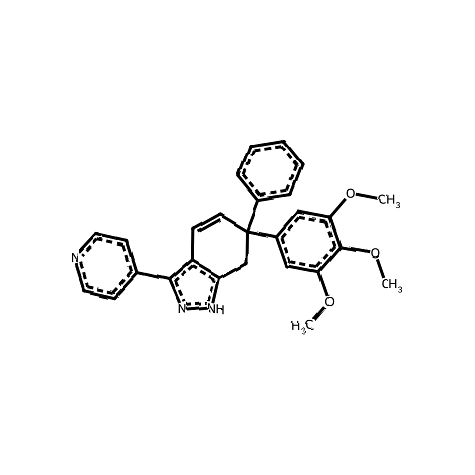 COc1cc(C2(c3ccccc3)C=Cc3c(-c4ccncc4)n[nH]c3C2)cc(OC)c1OC